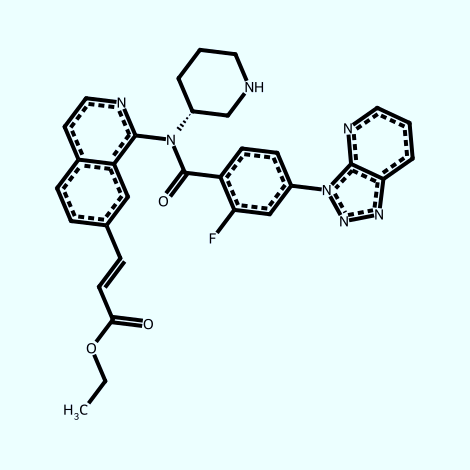 CCOC(=O)/C=C/c1ccc2ccnc(N(C(=O)c3ccc(-n4nnc5cccnc54)cc3F)[C@@H]3CCCNC3)c2c1